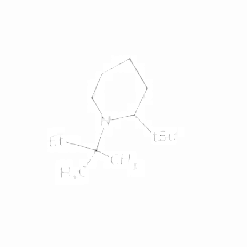 CCC(C)(C)N1CCCCC1C(C)(C)C